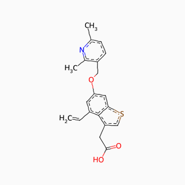 C=Cc1cc(OCc2ccc(C)nc2C)cc2scc(CC(=O)O)c12